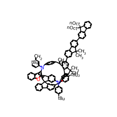 C=C/C=C(\C=C/C(C)(C)C)N1c2ccc(cc2)C(C)(C)c2cc(-c3ccc4c(c3)C(C)(C)c3cc(-c5ccc6c(c5)C(CCCCCCCC)(CCCCCCCC)c5ccccc5-6)ccc3-4)cc3c2-c2ccc(cc2C3(C)C)-c2ccc3c(c2)C2(c4ccccc4-3)c3cc(N(c4ccc(C(C)(C)C)cc4)c4ccc(C(C)(C)C)cc4)ccc3-c3c2cc1c1c3oc2ccccc21